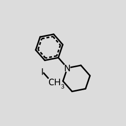 CI.c1ccc(N2CCCCC2)cc1